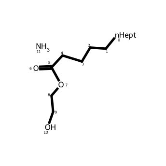 CCCCCCCCCCCC(=O)OCCO.N